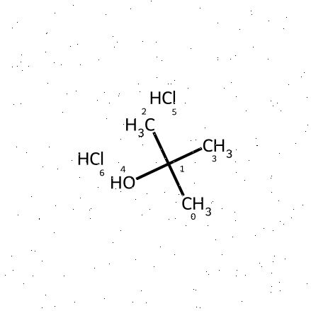 CC(C)(C)O.Cl.Cl